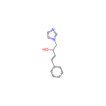 OC(C=Cc1ccccc1)Cn1ccnc1